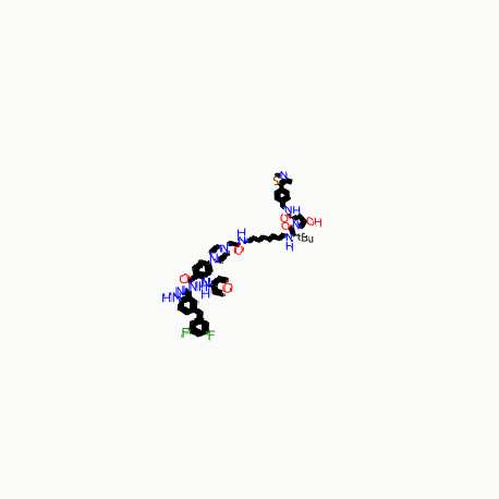 Cc1ncsc1-c1ccc(CNC(=O)[C@@H]2C[C@@H](O)CN2C(=O)[C@@H](NCCCCCCCCNC(=O)CN2CCN(c3ccc(C(=O)Nc4n[nH]c5ccc(Cc6cc(F)cc(F)c6)cc45)c(NC4CCOCC4)c3)CC2)C(C)(C)C)cc1